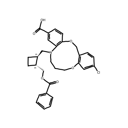 O=C(O)c1ccc2c(c1)N(C[C@@H]1CC[C@H]1COC(=O)c1ccccc1)CCCOc1cc(Cl)ccc1CO2